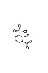 O=[N+]([O-])c1cccc(S(=O)(=O)Cl)c1F